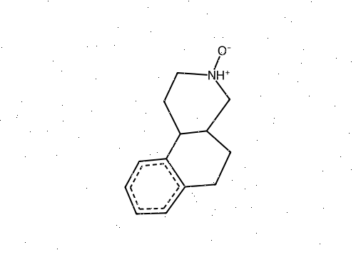 [O-][NH+]1CCC2c3ccccc3CCC2C1